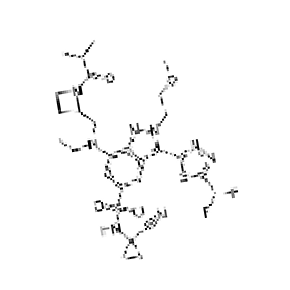 CCN(CC1CCN1C(=O)C(C)C)c1cc(S(=O)(=O)NC2(C#N)CC2)cc2c(-c3nnc(C(F)F)s3)n(CCOC)nc12